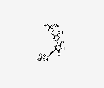 COP(=O)(O)OCC1OC(n2cc(C#CCOP(=O)(O)O)c(=O)[nH]c2=O)CC1O